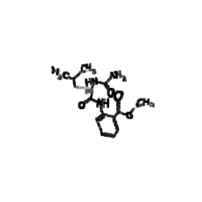 COC(=O)c1ccccc1NC(=O)[C@H](CC(C)C)NC(N)=O